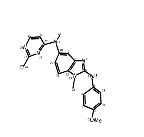 COc1ccc(Nc2nc3cc(N(C)c4ccnc(Cl)n4)ccc3n2C)cc1